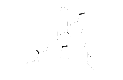 COC(=O)[C@H](CCCCNCN)NC(=O)N[C@@H](CCC(=O)OC(C)(C)C)C(=O)OC(C)(C)C